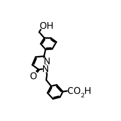 O=C(O)c1cccc(CCn2nc(-c3cccc(CO)c3)ccc2=O)c1